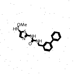 CONc1cnc(NC(=O)NCc2cccc(-c3ccccc3)c2)s1